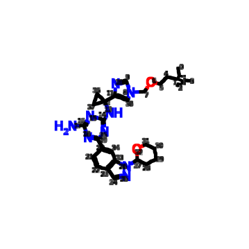 C[Si](C)(C)CCOCn1cnc(C2(Nc3nc(N)nc(-c4ccc5cnn(C6CCCCO6)c5c4)n3)CC2)c1